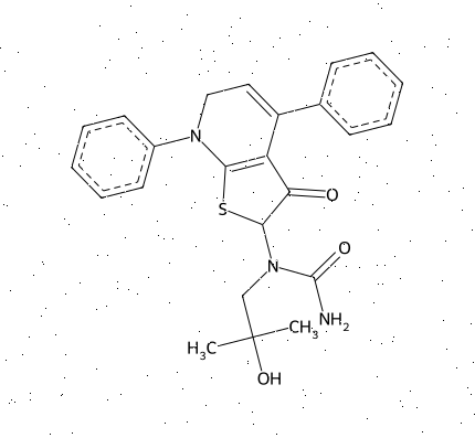 CC(C)(O)CN(C(N)=O)C1SC2=C(C1=O)C(c1ccccc1)=CCN2c1ccccc1